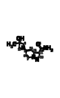 CC1(O)CN(c2ccn3ncc(C(N)=O)c3c2)C1